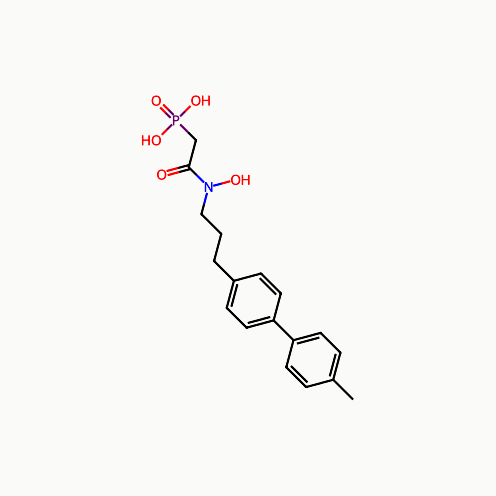 Cc1ccc(-c2ccc(CCCN(O)C(=O)CP(=O)(O)O)cc2)cc1